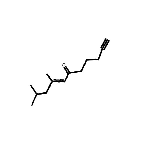 C#CCCCC(=O)/C=C(\C)CC(C)C